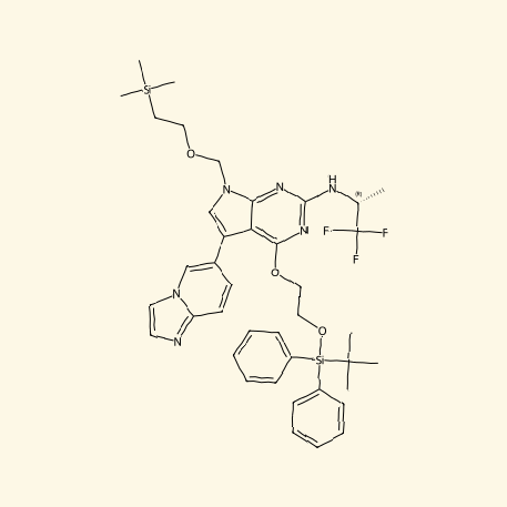 C[C@@H](Nc1nc(OCCO[Si](c2ccccc2)(c2ccccc2)C(C)(C)C)c2c(-c3ccc4nccn4c3)cn(COCC[Si](C)(C)C)c2n1)C(F)(F)F